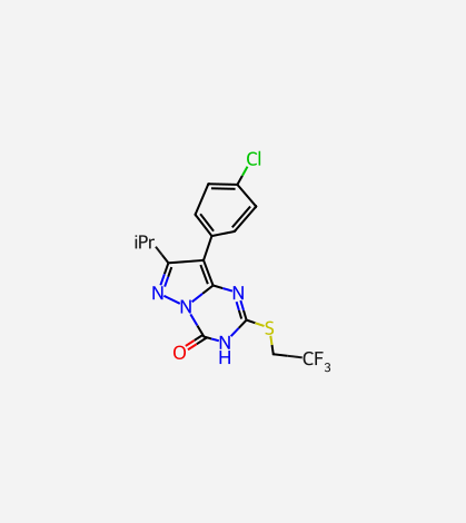 CC(C)c1nn2c(=O)[nH]c(SCC(F)(F)F)nc2c1-c1ccc(Cl)cc1